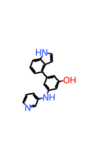 Oc1cc(Nc2cccnc2)cc(-c2cccc3[nH]ccc23)c1